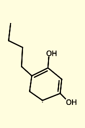 CCCCC1=C(O)C=C(O)[CH]C1